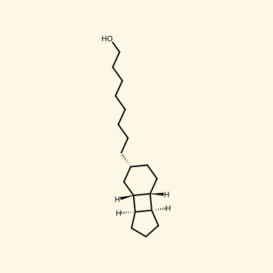 OCCCCCCCC[C@@H]1CC[C@@H]2[C@H]3CCC[C@H]3[C@@H]2C1